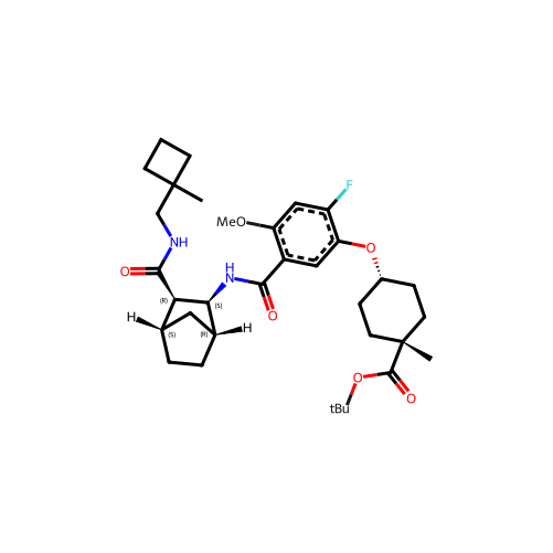 COc1cc(F)c(O[C@H]2CC[C@@](C)(C(=O)OC(C)(C)C)CC2)cc1C(=O)N[C@H]1[C@@H]2CC[C@@H](C2)[C@H]1C(=O)NCC1(C)CCC1